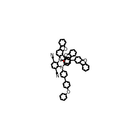 N#Cc1ccc(C#N)c(-n2c3ccc(-c4ccc5oc6ccccc6c5c4)cc3c3c4oc5ccccc5c4ccc32)c1N(c1ccc(-c2ccc(Oc3ccccc3)cc2)cc1)c1ccc2c(c1)oc1ccccc12